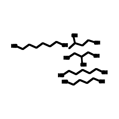 CC(O)CCO.OCC(O)CO.OCCCCCCO.OCCCCCO.OCCCCO